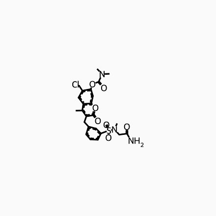 Cc1c(Cc2cccc(S(=O)(=O)N(C)CC(N)=O)c2)c(=O)oc2cc(OC(=O)N(C)C)c(Cl)cc12